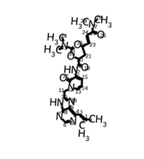 CC(C)=Cc1ncnc2[nH]c(Cn3cccc(NC(=O)C(CCC=CC(=O)N(C)C)OC(=O)N(C)C)c3=O)nc12